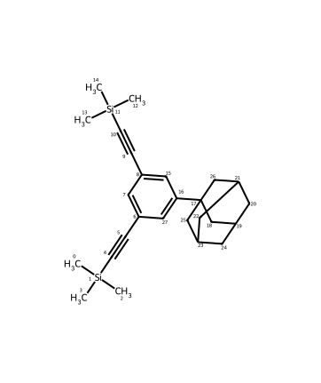 C[Si](C)(C)C#Cc1cc(C#C[Si](C)(C)C)cc(C23CC4CC(CC(C4)C2)C3)c1